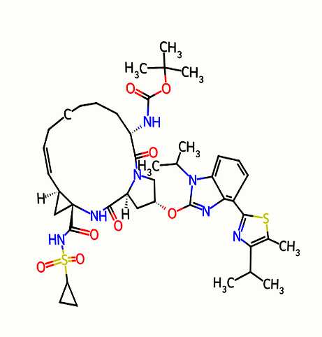 Cc1sc(-c2cccc3c2nc(O[C@@H]2C[C@H]4C(=O)N[C@]5(C(=O)NS(=O)(=O)C6CC6)C[C@H]5/C=C\CCCCC[C@H](NC(=O)OC(C)(C)C)C(=O)N4C2)n3C(C)C)nc1C(C)C